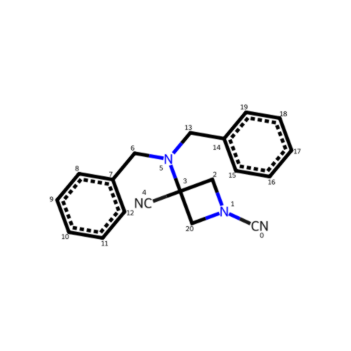 N#CN1CC(C#N)(N(Cc2ccccc2)Cc2ccccc2)C1